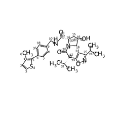 Cc1ccsc1-c1ccc(CNC(=O)[C@@H]2C[C@@H](O)CN2C(=O)[C@H](c2cc(C(C)C)no2)C(C)C)cc1